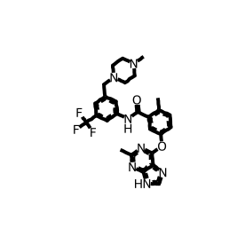 Cc1nc(Oc2ccc(C)c(C(=O)Nc3cc(CN4CCN(C)CC4)cc(C(F)(F)F)c3)c2)c2nc[nH]c2n1